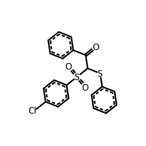 O=C(c1ccccc1)C(Sc1ccccc1)S(=O)(=O)c1ccc(Cl)cc1